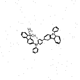 CC1(C)c2ccccc2-c2ccc(N(c3ccccc3)c3ccc(C4C=CC5=C(C4)C4C=CC=CC4N5c4ccccc4)cc3)cc21